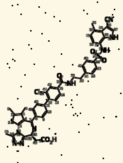 Cc1sc2c(c1C)C(c1ccc(-c3ccc(C(=O)NCCc4ccc(S(=O)(=O)Nc5ccc(C)c6c(C#N)c[nH]c56)cc4)cc3Cl)cc1)=N[C@@H](CC(=O)O)c1nnc(C)n1-2